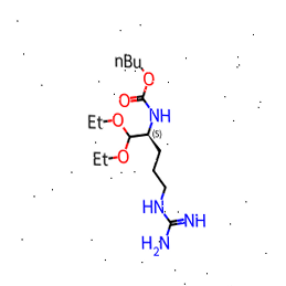 CCCCOC(=O)N[C@@H](CCCNC(=N)N)C(OCC)OCC